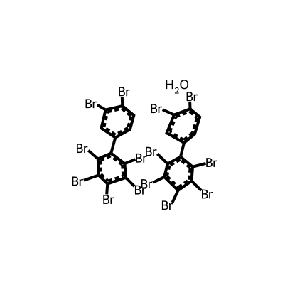 Brc1ccc(-c2c(Br)c(Br)c(Br)c(Br)c2Br)cc1Br.Brc1ccc(-c2c(Br)c(Br)c(Br)c(Br)c2Br)cc1Br.O